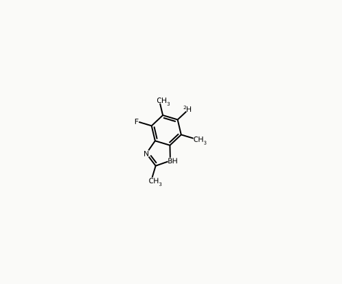 [2H]c1c(C)c(F)c2c(c1C)BC(C)=N2